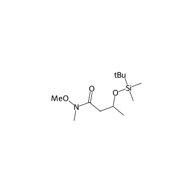 CON(C)C(=O)CC(C)O[Si](C)(C)C(C)(C)C